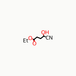 CCOC(=O)CCC(O)C#N